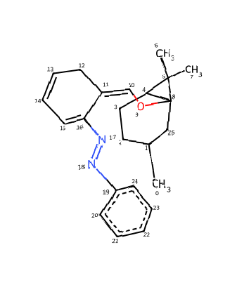 CC1CCC2C(C)(C)C2(OC=C2CC=CC=C2N=Nc2ccccc2)C1